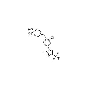 [2H]C1(O)CCN(Cc2ccc(-c3cc(C(F)(F)F)nn3C)cc2Cl)CC1